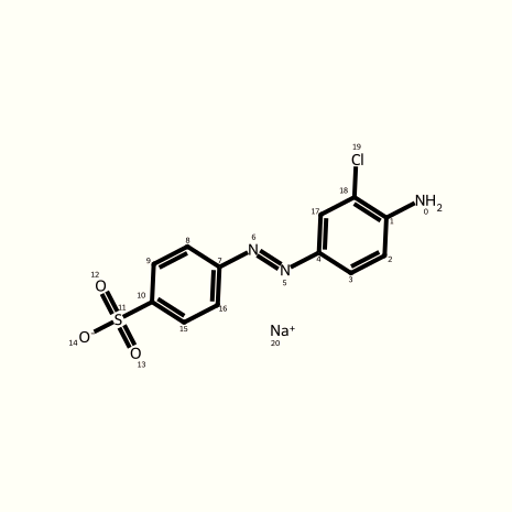 Nc1ccc(/N=N/c2ccc(S(=O)(=O)[O-])cc2)cc1Cl.[Na+]